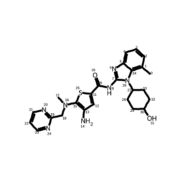 Cc1cccc2nc(NC(=O)c3cc(N)c(N(C)Cc4ncccn4)s3)n(C3CCC(O)CC3)c12